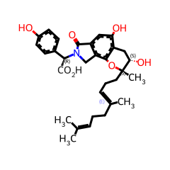 CC(C)=CCC/C(C)=C/CC[C@]1(C)Oc2c(c(O)cc3c2CN([C@@H](C(=O)O)c2ccc(O)cc2)C3=O)C[C@@H]1O